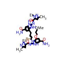 CCn1nc(C)cc1C(=O)/N=c1/[nH]c2cc(C(N)=O)cc(OCCCOC)c2n1[C@@H](Br)/C=C/Cc1cc(C(N)=O)cc2[nH]/c(=N\C(=O)c3cc(C)nn3CC)[nH]c12